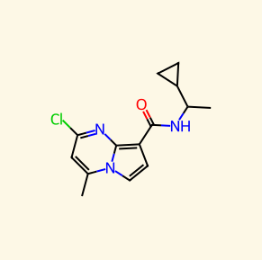 Cc1cc(Cl)nc2c(C(=O)NC(C)C3CC3)ccn12